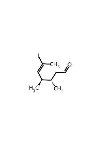 C/C(I)=C\[C@H](C)[C@@H](C)CC=O